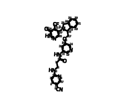 N#Cc1ccc(NCCC(=O)Nc2cncc(OCC3c4ccccc4CN3c3cn[nH]c(=O)c3C(F)(F)F)c2)nc1